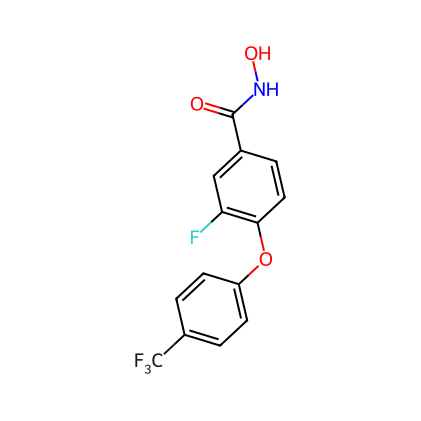 O=C(NO)c1ccc(Oc2ccc(C(F)(F)F)cc2)c(F)c1